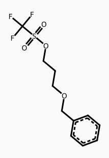 O=S(=O)(OCCCOCc1ccccc1)C(F)(F)F